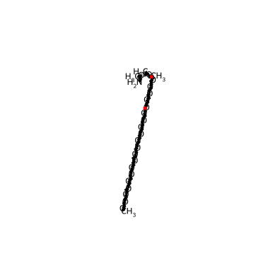 COCCOCCOCCOCCOCCOCCOCCOCCOCCOCCOCCOCCOCCOCCOCCOCCOCCOCCOCCOC(C)COC(C)COC(C)CN